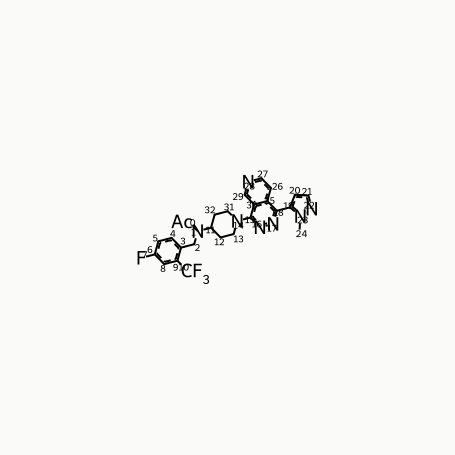 CC(=O)N(Cc1ccc(F)cc1C(F)(F)F)C1CCN(c2nnc(-c3ccnn3C)c3ccncc23)CC1